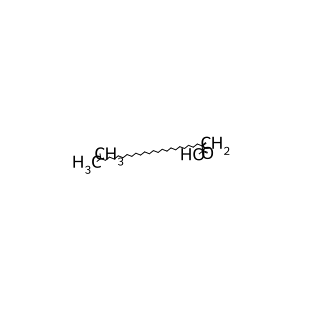 C=C(CCCCCCCCCCCCCCCCCCCCCCC(C)C)C(=O)O